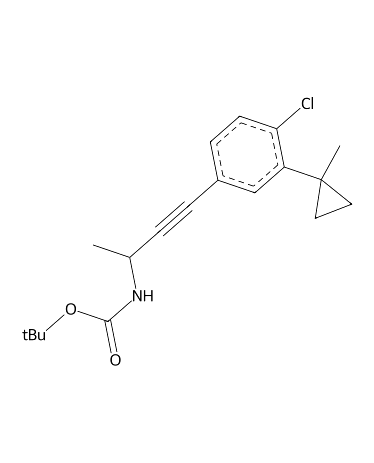 CC(C#Cc1ccc(Cl)c(C2(C)CC2)c1)NC(=O)OC(C)(C)C